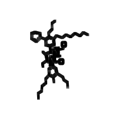 CCCCCCCCc1cc([C](=C(C)C(CC)=Nc2cc(CCCC)c(C)c(CCCCCC)c2)[Ni]([CH3])([NH]C=O)[NH]C=O)cc(-c2ccccc2)c1CCCC